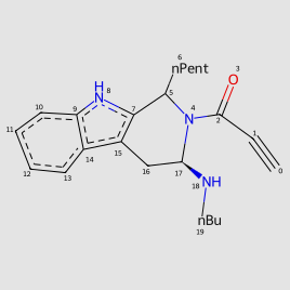 C#CC(=O)N1C(CCCCC)c2[nH]c3ccccc3c2C[C@@H]1NCCCC